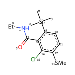 CCNC(=O)c1c([Si](C)(C)C)ccc(SC)c1Cl